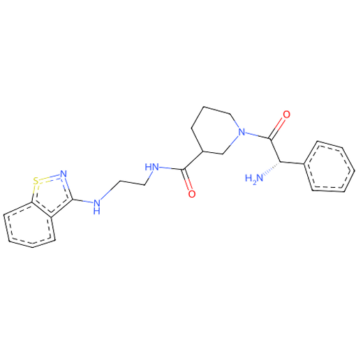 N[C@H](C(=O)N1CCCC(C(=O)NCCNc2nsc3ccccc23)C1)c1ccccc1